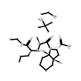 CC(C)(C)N.CCC[C@H](N[C@@H](C)C(=O)N1[C@H](C(=O)O)C[C@@H]2CCCC[C@@H]21)C(=O)OCC.CCO